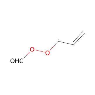 C=C[CH]OOC=O